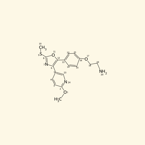 COc1ccc(-c2nc(SC)oc2-c2ccc(OCCN)cc2)cn1